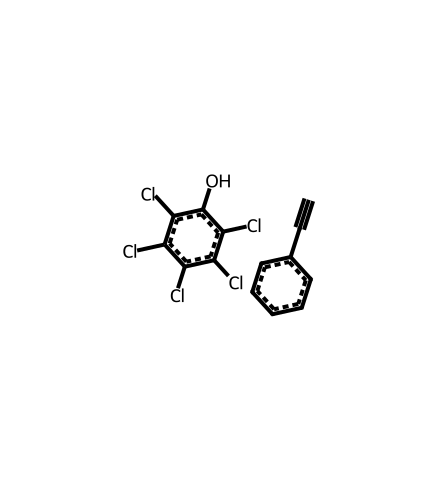 C#Cc1ccccc1.Oc1c(Cl)c(Cl)c(Cl)c(Cl)c1Cl